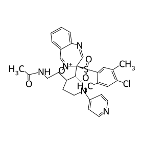 CC(=O)NCCC1CCN(c2ccncc2)C[C@H]1[C@@]1(S(=O)(=O)c2cc(C)c(Cl)cc2C)C=Nc2ccccc2C=[N+]1[O-]